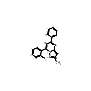 Cc1cc2nc(-c3ccccc3)cc(-c3ccccc3F)n2n1